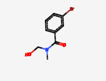 CN(CO)C(=O)c1cccc(Br)c1